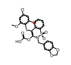 COc1cc(Cl)cc(OC)c1SC1=C(OC(=O)O)N(Cc2ccc3c(c2)OCO3)S(=O)(=O)c2ccccc21